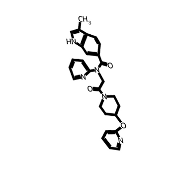 Cc1c[nH]c2cc(C(=O)N(CC(=O)N3CCC(Oc4ccccn4)CC3)c3ccccn3)ccc12